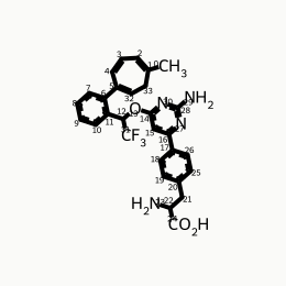 CC1=CC=CC(c2ccccc2C(Oc2cc(-c3ccc(CC(N)C(=O)O)cc3)nc(N)n2)C(F)(F)F)=CC1